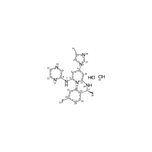 Cc1cn(-c2cc(Nc3cnccn3)nc(N[C@@H](C)c3ccc(F)cc3)c2)cn1.Cl.Cl